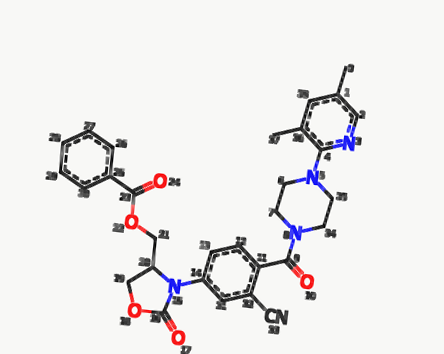 Cc1cnc(N2CCN(C(=O)c3ccc(N4C(=O)OCC4COC(=O)c4ccccc4)cc3C#N)CC2)c(C)c1